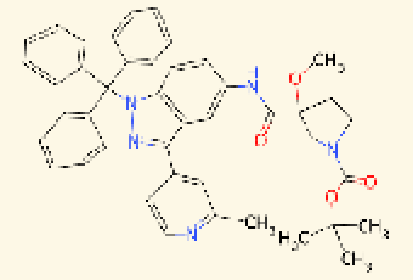 COC1(C(=O)Nc2ccc3c(c2)c(-c2ccnc(C)c2)nn3C(c2ccccc2)(c2ccccc2)c2ccccc2)CCN(C(=O)OC(C)(C)C)C1